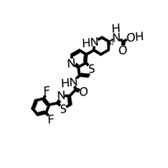 O=C(O)N[C@H]1CCC(c2ccnc3c(NC(=O)c4csc(-c5c(F)cccc5F)n4)csc23)NC1